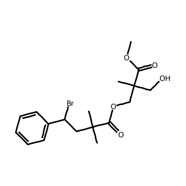 COC(=O)C(C)(CO)COC(=O)C(C)(C)CC(Br)c1ccccc1